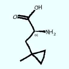 CC1(C[C@H](N)C(=O)O)CC1